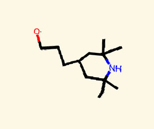 CC1(C)CC(CCC[O])CC(C)(C)N1